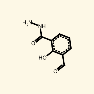 NNC(=O)c1cccc([C]=O)c1O